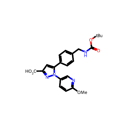 COc1ccc(-n2nc(C(=O)O)cc2-c2ccc(CNC(=O)OC(C)(C)C)cc2)cn1